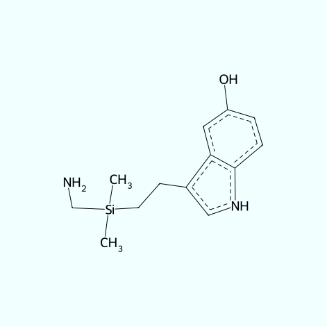 C[Si](C)(CN)CCc1c[nH]c2ccc(O)cc12